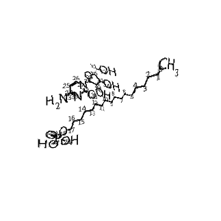 CCCCCCCCCCCCCCCCCCOP(=O)(O)O.Nc1ccn([C@@H]2O[C@H](CO)[C@@H](O)[C@@H]2O)c(=O)n1